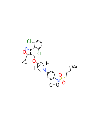 CC(=O)OCCCS(=O)(=O)N(C=O)c1ccc(N2C[C@@H]3C[C@H]2C[C@H]3OCc2c(-c3c(Cl)cccc3Cl)noc2C2CC2)cc1